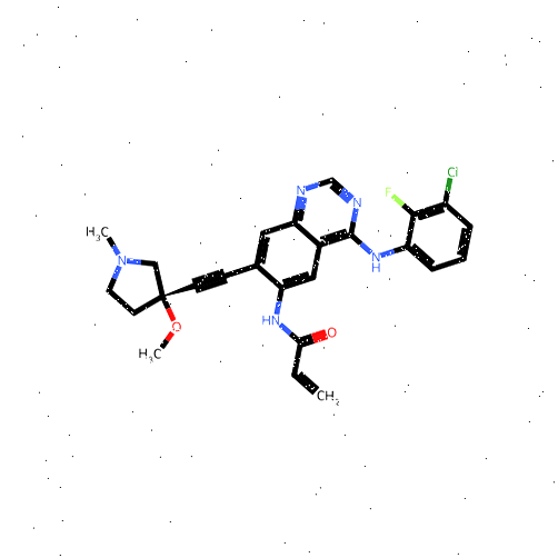 C=CC(=O)Nc1cc2c(Nc3cccc(Cl)c3F)ncnc2cc1C#C[C@@]1(OC)CCN(C)C1